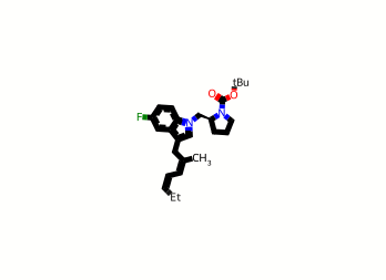 CC/C=C\C=C(\C)Cc1cn(C[C@@H]2CCCN2C(=O)OC(C)(C)C)c2ccc(F)cc12